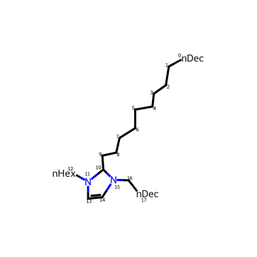 CCCCCCCCCCCCCCCCCCCC1N(CCCCCC)C=CN1CCCCCCCCCCC